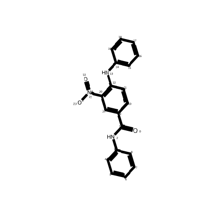 O=C(Nc1ccccc1)c1ccc(Nc2ccccc2)c([N+](=O)[O-])c1